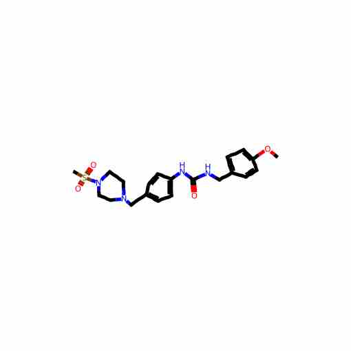 COc1ccc(CNC(=O)Nc2ccc(CN3CCN(S(C)(=O)=O)CC3)cc2)cc1